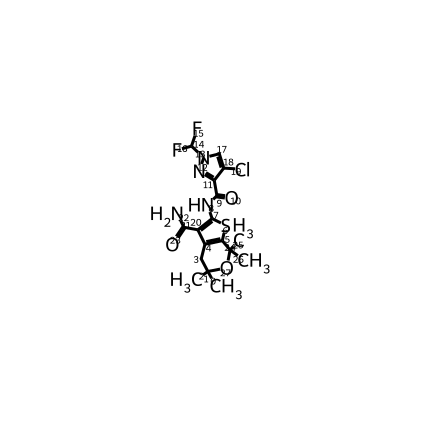 CC1(C)Cc2c(sc(NC(=O)c3nn(C(F)F)cc3Cl)c2C(N)=O)C(C)(C)O1